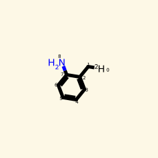 [2H]Cc1ccccc1N